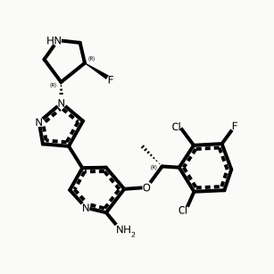 C[C@@H](Oc1cc(-c2cnn([C@@H]3CNC[C@H]3F)c2)cnc1N)c1c(Cl)ccc(F)c1Cl